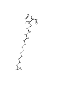 CCCCCCCCCCCCCCOc1ccccc1N=O